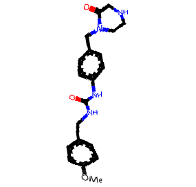 COc1ccc(CNC(=O)Nc2ccc(CN3CCNCC3=O)cc2)cc1